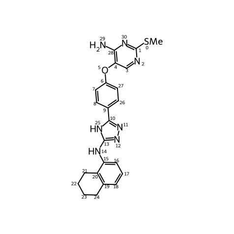 CSc1ncc(Oc2ccc(-c3nnc(Nc4cccc5c4CCCC5)[nH]3)cc2)c(N)n1